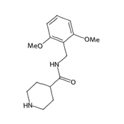 COc1cccc(OC)c1CNC(=O)C1CCNCC1